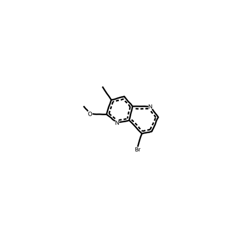 COc1nc2c(Br)ccnc2cc1C